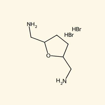 Br.Br.NCC1CCC(CN)O1